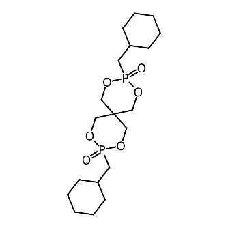 O=P1(CC2CCCCC2)OCC2(CO1)COP(=O)(CC1CCCCC1)OC2